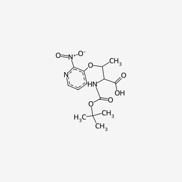 CC(Oc1cccnc1[N+](=O)[O-])C(NC(=O)OC(C)(C)C)C(=O)O